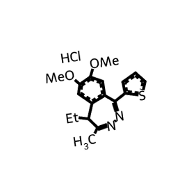 CCC1C(C)=NN=C(c2cccs2)c2cc(OC)c(OC)cc21.Cl